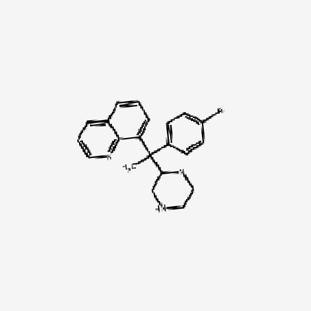 CC(c1ccc(Br)cc1)(c1cccc2cccnc12)C1CNCC[N]1